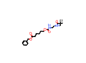 CCC(C)(C)C(=O)NCCNC(=O)OCCCCCC(=O)OCc1ccccc1